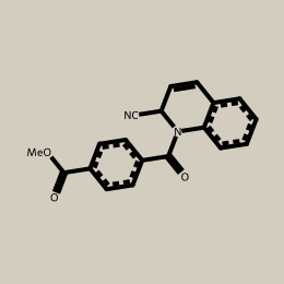 COC(=O)c1ccc(C(=O)N2c3ccccc3C=CC2C#N)cc1